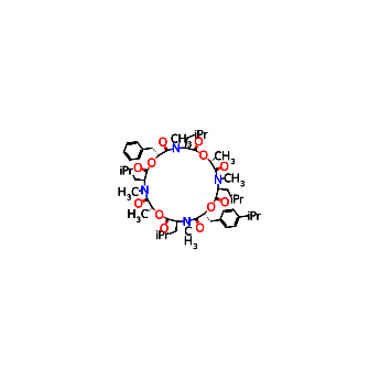 CC(C)C[C@H]1C(=O)O[C@H](Cc2ccc(C(C)C)cc2)C(=O)N(C)[C@@H](CC(C)C)C(=O)O[C@H](C)C(=O)N(C)[C@@H](CC(C)C)C(=O)O[C@H](Cc2ccccc2)C(=O)N(C)[C@@H](CC(C)C)C(=O)O[C@H](C)C(=O)N1C